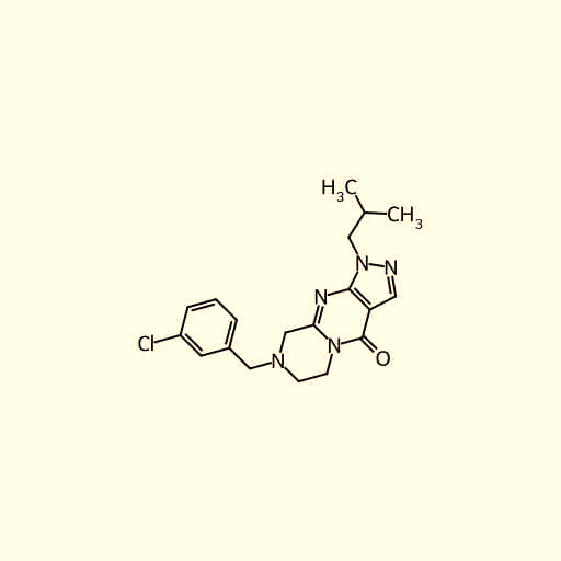 CC(C)Cn1ncc2c(=O)n3c(nc21)CN(Cc1cccc(Cl)c1)CC3